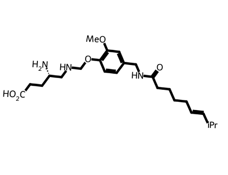 COc1cc(CNC(=O)CCCC/C=C/C(C)C)ccc1OCNC[C@@H](N)CCC(=O)O